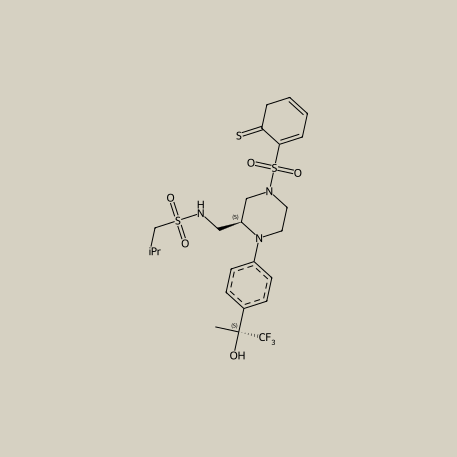 CC(C)CS(=O)(=O)NC[C@H]1CN(S(=O)(=O)C2=CC=CCC2=S)CCN1c1ccc([C@](C)(O)C(F)(F)F)cc1